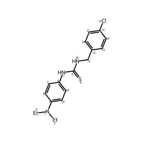 CCN(CC)c1ccc(NC(=S)NCc2ccc(Cl)cc2)cc1